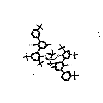 Cc1cc(-c2cccc(C(C)(C)C)c2)c(O)c(-c2cc(C(C)(C)C)cc(C(C)(C)C)c2OC[Si](COc2c(-c3cc(C)cc(-c4cccc(C(C)(C)C)c4)c3O)cc(C(C)(C)C)cc2C(C)(C)C)(C(C)(C)C)C(C)(C)C)c1